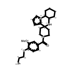 COc1cc(C(=O)N2CCC3(CC2)NC2CCCCC2n2cccc23)ccc1OCCC(C)C